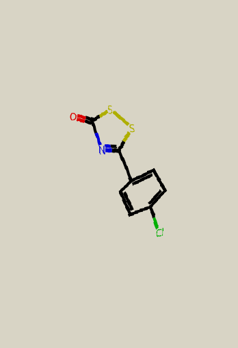 O=c1nc(-c2ccc(Cl)cc2)ss1